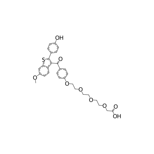 COc1ccc2c(C(=O)c3ccc(OCCOCCOCCOCC(=O)O)cc3)c(-c3ccc(O)cc3)sc2c1